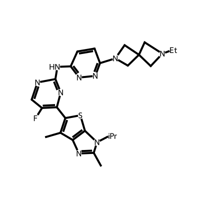 CCN1CC2(C1)CN(c1ccc(Nc3ncc(F)c(-c4sc5c(nc(C)n5C(C)C)c4C)n3)nn1)C2